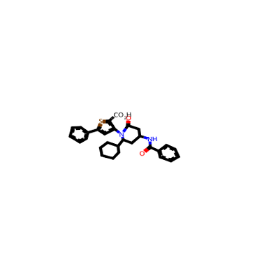 O=C(NC1CC(=O)N(c2cc(-c3ccccc3)sc2C(=O)O)C(C2CCCCC2)C1)c1ccccc1